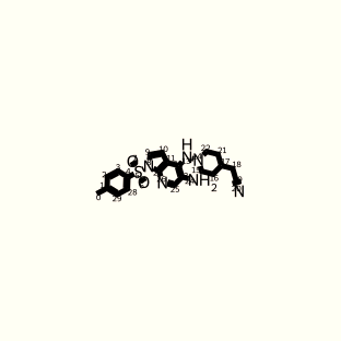 Cc1ccc(S(=O)(=O)n2ccc3c(NN4CCC(CC#N)CC4)c(N)cnc32)cc1